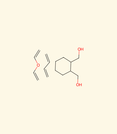 C=CC=C.C=COC=C.OCC1CCCCC1CO